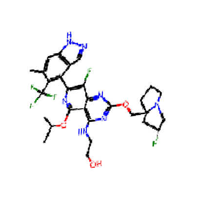 Cc1cc2[nH]ncc2c(-c2nc(OC(C)C)c3c(NCCO)nc(OC[C@@]45CCCN4C[C@H](F)C5)nc3c2F)c1C(F)(F)F